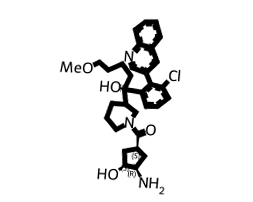 COCCCC[C@@](O)(c1cccc(Cl)c1-c1cnc2ccccc2c1)C1CCCN(C(=O)[C@H]2C[C@@H](N)[C@@H](O)C2)C1